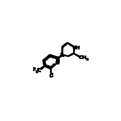 CC1CN(c2ccc(C(F)(F)F)c(Cl)n2)CCN1